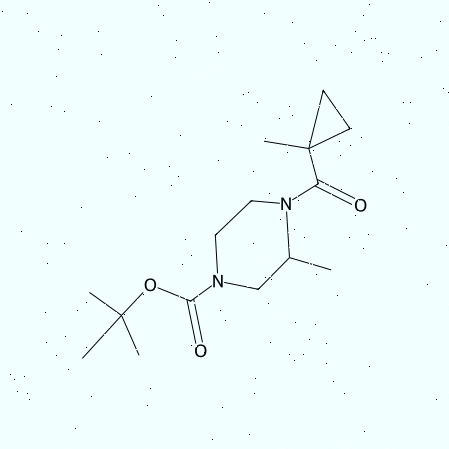 CC1CN(C(=O)OC(C)(C)C)CCN1C(=O)C1(C)CC1